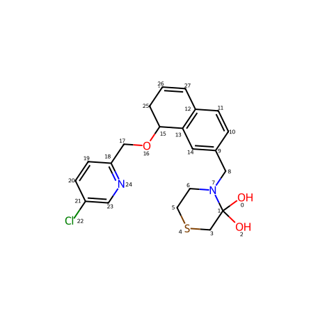 OC1(O)CSCCN1Cc1ccc2c(c1)C(OCc1ccc(Cl)cn1)C[C]=C2